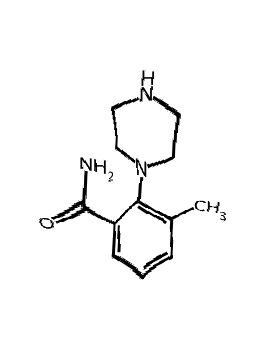 Cc1cccc(C(N)=O)c1N1CCNCC1